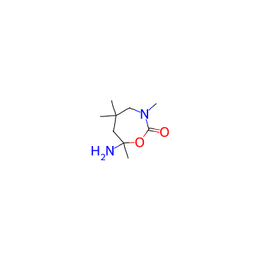 CN1CC(C)(C)CC(C)(N)OC1=O